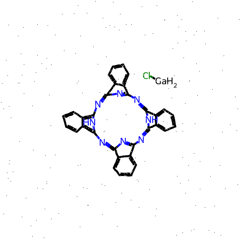 [Cl][GaH2].c1ccc2c(c1)-c1nc-2nc2[nH]c(nc3nc(nc4[nH]c(n1)c1ccccc41)-c1ccccc1-3)c1ccccc21